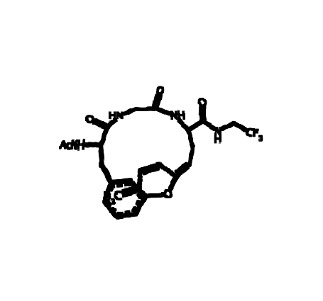 C=C/C=C\C1=C/CC(C(=O)NCC(F)(F)F)NC(=O)CNC(=O)C(NC(C)=O)Cc2cccc(c2)O1